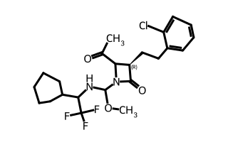 COC(NC(C1CCCCC1)C(F)(F)F)N1C(=O)[C@H](CCc2ccccc2Cl)C1C(C)=O